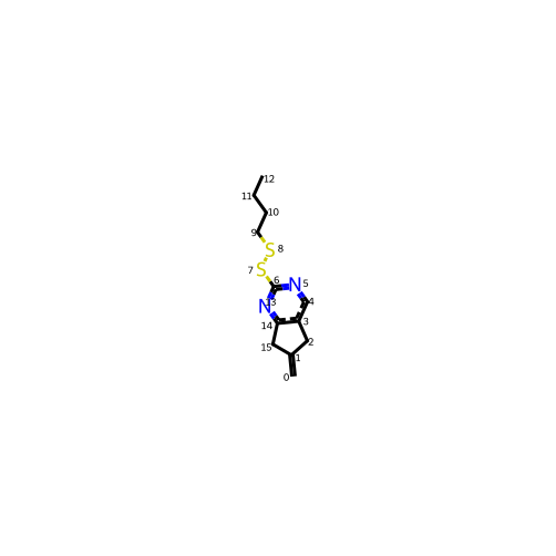 C=C1Cc2cnc(SSCCCC)nc2C1